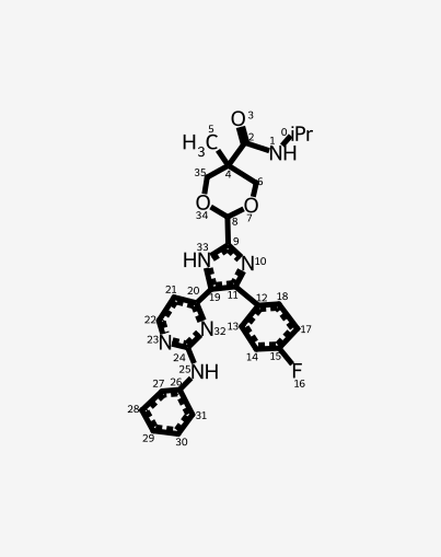 CC(C)NC(=O)C1(C)COC(c2nc(-c3ccc(F)cc3)c(-c3ccnc(Nc4ccccc4)n3)[nH]2)OC1